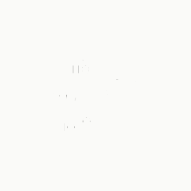 CC/C=C(\O)C(=O)OO